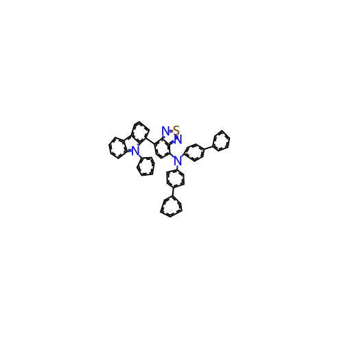 c1ccc(-c2ccc(N(c3ccc(-c4ccccc4)cc3)c3ccc(-c4cccc5c6ccccc6n(-c6ccccc6)c45)c4nsnc34)cc2)cc1